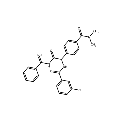 CN(C)C(=O)c1ccc(C(NC(=O)c2cccc(Cl)c2)C(=O)NC(=N)c2ccccc2)cc1